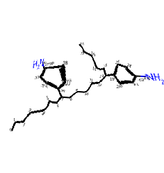 CCCCCCCC(CCCCCC(CCCCC)c1ccc(N)cc1)c1ccc(N)cc1